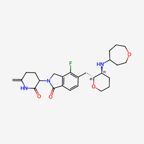 C=C1CCC(N2Cc3c(ccc(C[C@H]4OCCC[C@@H]4NC4CCCOCC4)c3F)C2=O)C(=O)N1